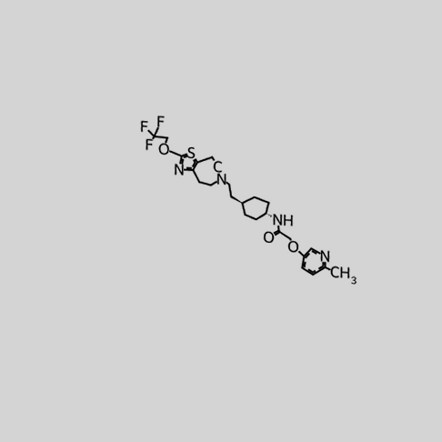 Cc1ccc(OCC(=O)N[C@H]2CC[C@H](CCN3CCc4nc(OCC(F)(F)F)sc4CC3)CC2)cn1